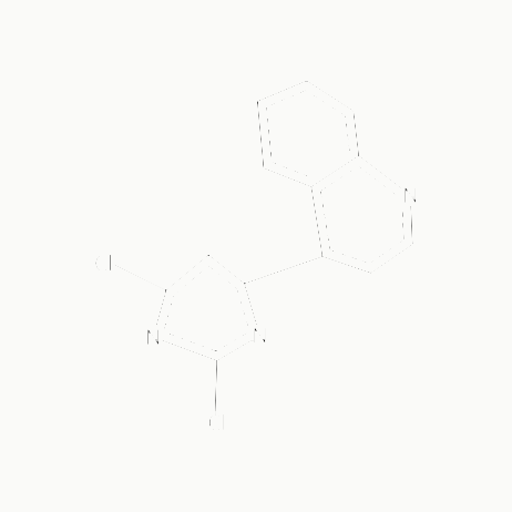 Clc1cc(-c2ccnc3ccccc23)nc(Cl)n1